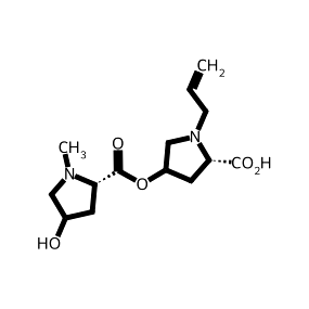 C=CCN1CC(OC(=O)[C@@H]2CC(O)CN2C)C[C@H]1C(=O)O